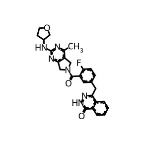 Cc1nc(NC2CCOC2)nc2c1CN(C(=O)c1cc(Cc3n[nH]c(=O)c4ccccc34)ccc1F)C2